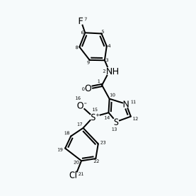 O=C(Nc1ccc(F)cc1)c1ncsc1[S+]([O-])c1ccc(Cl)cc1